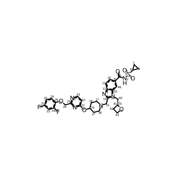 O=C(NS(=O)(=O)C1CC1)c1ccc2nc(CN3CCC(Oc4ccnc(COc5ccc(F)cc5F)n4)CC3)n(C[C@@H]3CCO3)c2c1